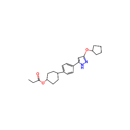 CCC(=O)OC1CCC(c2ccc(-c3cc(OC4CCCC4)n[nH]3)cc2)CC1